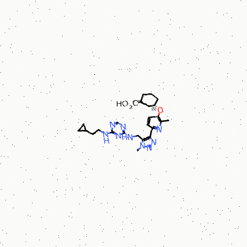 Cc1nc(-c2nnn(C)c2CNc2ncnc(NCCC3CC3)n2)ccc1O[C@H]1CCC[C@H](C(=O)O)C1